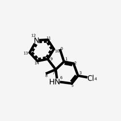 CC1=CC(Cl)=CNC1(C)c1ccncc1